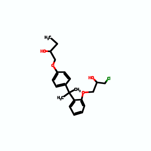 CCC(O)COc1ccc(C(C)(C)c2ccccc2OCC(O)CCl)cc1